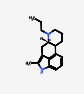 CCCN1C[CH]CC2c3cccc4[nH]c(C)c(c34)C[C@H]21